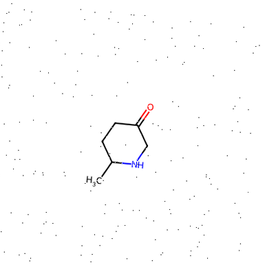 CC1CCC(=O)CN1